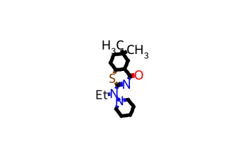 CCN(C1=NC(=O)C2CC(C)(C)CCC2S1)N1CCCCC1